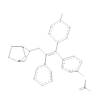 CC(C)(C)C(=O)Oc1ccc(/C(=C(/CC2CC3CCC2C3)c2ccccc2)c2ccc(O)cc2)cc1